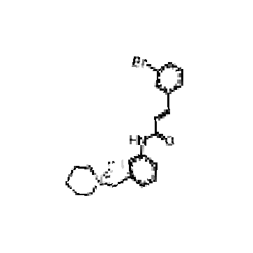 C[N+]1(Cc2cccc(NC(=O)C=Cc3cccc(Br)c3)c2)CCCCC1